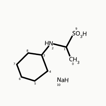 CC(NC1CCCCC1)S(=O)(=O)O.[NaH]